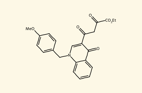 CCOC(=O)C(=O)CC(=O)c1cn(Cc2ccc(OC)cc2)c2ccccc2c1=O